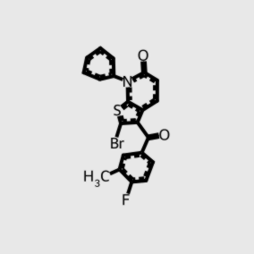 Cc1cc(C(=O)c2c(Br)sc3c2ccc(=O)n3-c2ccccc2)ccc1F